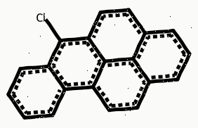 Clc1c2ccccc2c2ccc3cccc4ccc1c2c43